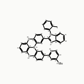 Cc1ccccc1-n1c(-c2ccc3c(c2)B2c4cc(-c5cc(C(C)(C)C)ccn5)ccc4Oc4cccc(c42)O3)nc2ccccc21